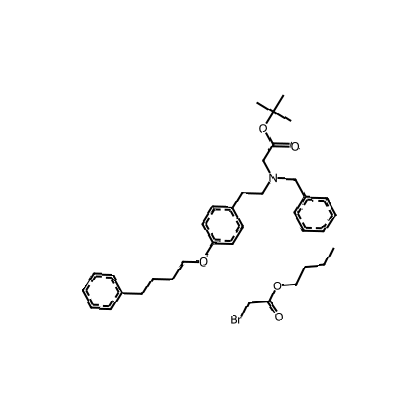 CC(C)(C)OC(=O)CN(CCc1ccc(OCCCCc2ccccc2)cc1)Cc1ccccc1.CCCCOC(=O)CBr